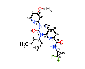 CCCC(CC)N(C(=O)Nc1cc(OC)ccn1)c1nc(C(=O)NC2CC2(F)F)ccc1C